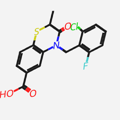 CC1Sc2ccc(C(=O)O)cc2N(Cc2c(F)cccc2Cl)C1=O